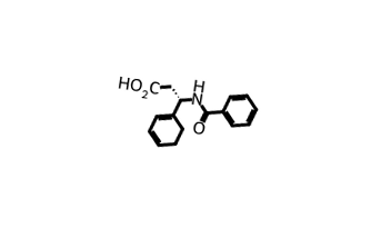 O=C(O)C[C@H](NC(=O)c1ccccc1)C1=CC=CCC1